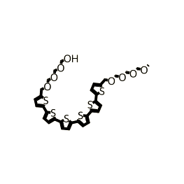 COCOCOCOCc1ccc(-c2ccc(-c3ccc(-c4ccc(-c5ccc(-c6ccc(COCOCOCO)s6)s5)s4)s3)s2)s1